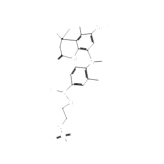 CCN(NCCNS(C)(=O)=O)c1ccc(N(C)c2cc(NC(C)=O)c(O)c3c2NC(=O)CC3(C)C)c(C)c1